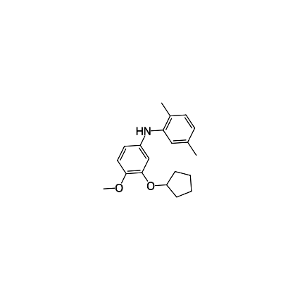 COc1ccc(Nc2cc(C)ccc2C)cc1OC1CCCC1